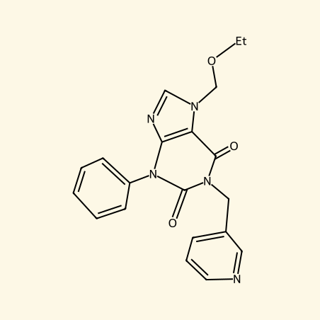 CCOCn1cnc2c1c(=O)n(Cc1cccnc1)c(=O)n2-c1ccccc1